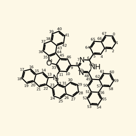 c1ccc2cc(C3N=C(c4cc(-n5c6cc7ccccc7cc6c6ccc7ccccc7c65)c5oc6ccc7ccccc7c6c5c4)N=C(c4cc5ccccc5c5ccccc45)N3)ccc2c1